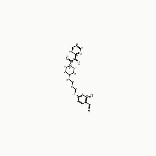 O=Cc1ccc(OCCCCC2CCN(C(=O)C(=O)c3ccccn3)CC2)nc1Cl